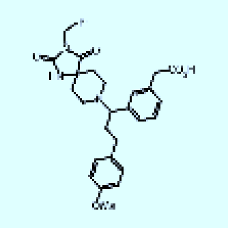 COc1ccc(CCC(c2cccc(CC(=O)O)c2)N2CCC3(CC2)NC(=O)N(CC(C)C)C3=O)cc1